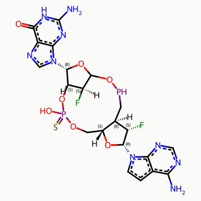 Nc1nc2c(ncn2[C@@H]2OC3OPC[C@H]4[C@H](F)[C@H](n5ccc6c(N)ncnc65)O[C@@H]4COP(O)(=S)O[C@@H]2[C@@H]3F)c(=O)[nH]1